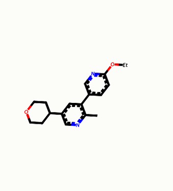 CCOc1ccc(-c2cc(C3CCOCC3)cnc2C)cn1